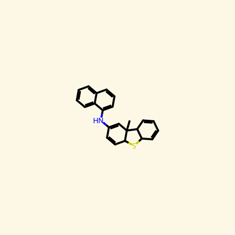 CC12C=C(Nc3cccc4ccccc34)C=CC1SC1C=CC=CC12